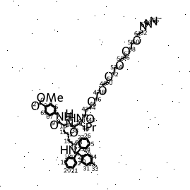 COC(=O)c1ccc(NC(=O)[C@H](CCCCNC(c2ccccc2)(c2ccccc2)c2ccc(C)cc2)NC(=O)[C@@H](NC(=O)CCOCCOCCOCCOCCOCCOCCN=[N+]=[N-])C(C)C)cc1